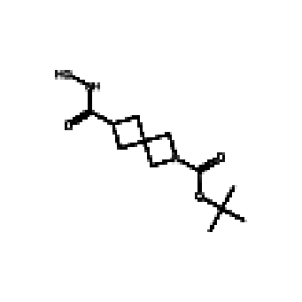 CC(C)(C)OC(=O)N1CC2(CC(C(=O)NO)C2)C1